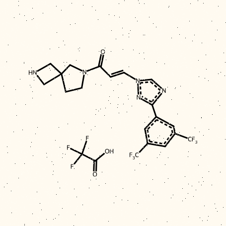 O=C(C=Cn1cnc(-c2cc(C(F)(F)F)cc(C(F)(F)F)c2)n1)N1CCC2(CNC2)C1.O=C(O)C(F)(F)F